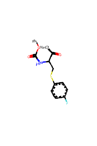 COC(=O)C(CSc1ccc(F)cc1)NC(=O)OC(C)(C)C